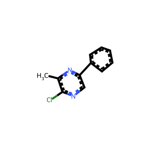 Cc1nc(-c2ccccc2)cnc1Cl